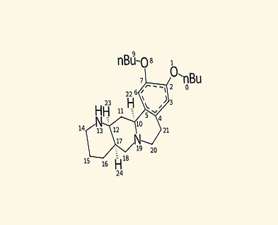 CCCCOc1cc2c(cc1OCCCC)[C@@H]1C[C@@H]3NCCC[C@@H]3CN1CC2